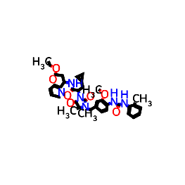 CCOC(=O)CC(NC(=O)C(CC1CC1)N1C(=O)N(Cc2ccc(NC(=O)Nc3ccccc3C)c(OC)c2)C(C)(C)C1=O)c1ccccn1